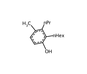 CCCCCCc1c(O)ccc(C)c1CCC